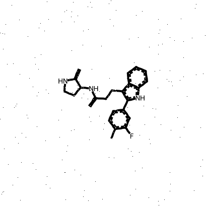 C=C(CCc1c(-c2ccc(C)c(F)c2)[nH]c2ccccc12)NC1CCNC1=C